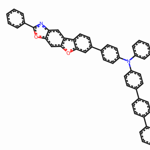 c1ccc(-c2ccc(-c3ccc(N(c4ccccc4)c4ccc(-c5ccc6c(c5)oc5cc7oc(-c8ccccc8)nc7cc56)cc4)cc3)cc2)cc1